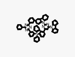 c1ccc(-c2nc(-c3ccccc3)nc(-c3cccc(S(c4ccccc4)(c4ccccc4)c4cccc(-c5cc(-n6c7ccccc7c7ccccc76)nc(-n6c7ccccc7c7ccccc76)n5)c4)c3)n2)cc1